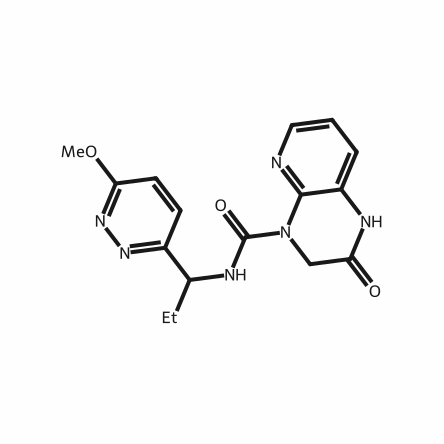 CCC(NC(=O)N1CC(=O)Nc2cccnc21)c1ccc(OC)nn1